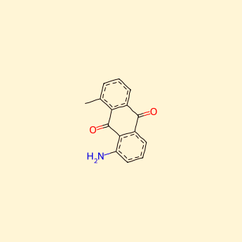 Cc1cccc2c1C(=O)c1c(N)cccc1C2=O